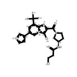 O=C(CCCl)N[C@@H]1CCN(C(=O)c2nc3c(C(F)(F)F)cc(-c4ccoc4)cn3c2Cl)C1